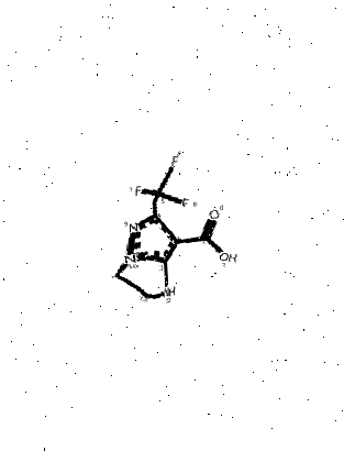 O=C(O)c1c(C(F)(F)F)nn2c1NCC2